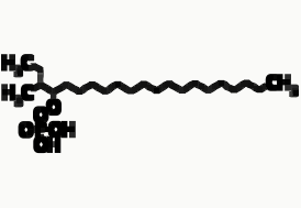 CCCCCCCCCCCCCCCCCC(OOP(=O)(O)O)C(C)CC